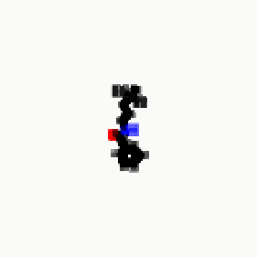 CC[Si](C)(CC)CCCNC(=O)c1ccccc1